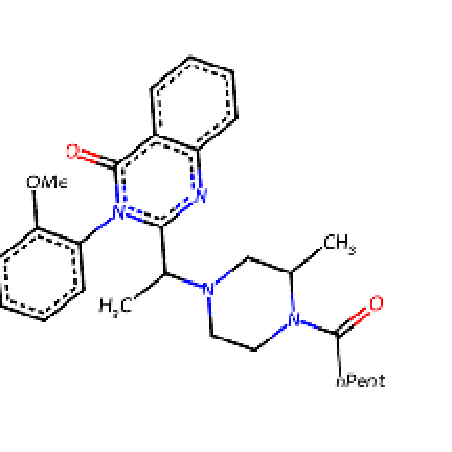 CCCCCC(=O)N1CCN(C(C)c2nc3ccccc3c(=O)n2-c2ccccc2OC)CC1C